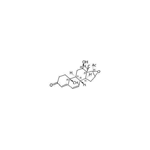 CC(=O)[C@]12OC1C[C@H]1[C@@H]3C=CC4=CC(=O)CC[C@]4(C)[C@H]3C[C@@H](O)[C@@]12C